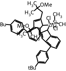 COC(C)(C)CC1=Cc2c(-c3ccc(C(C)(C)C)cc3)cccc2[CH]1[Zr]([Cl])([Cl])([CH]1C(CC(C)(C)OC)=Cc2c(-c3ccc(C(C)(C)C)cc3)cccc21)[SiH](C)C